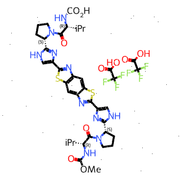 COC(=O)N[C@@H](C(=O)N1CCC[C@H]1c1nc(-c2nc3cc4sc(-c5c[nH]c([C@@H]6CCCN6C(=O)[C@H](NC(=O)O)C(C)C)n5)nc4cc3s2)c[nH]1)C(C)C.O=C(O)C(F)(F)F.O=C(O)C(F)(F)F